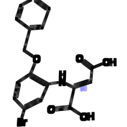 O=C(O)/C=C(\Nc1cc(Br)ccc1OCc1ccccc1)C(=O)O